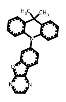 CC1(C)c2ccccc2N(c2ccc3c(c2)oc2nccnc23)c2ccccc21